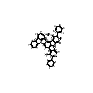 CC(C)c1c(-c2ccccc2)ncc2c1c1cc3c(c4cccc5c6ccccc6n3c54)c3c4c(C(C)C)c(-c5ccccc5)ncc4n2c13